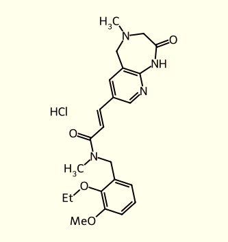 CCOc1c(CN(C)C(=O)/C=C/c2cnc3c(c2)CN(C)CC(=O)N3)cccc1OC.Cl